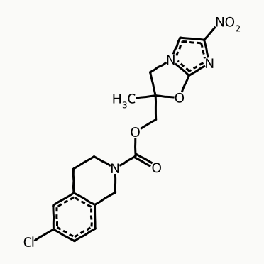 CC1(COC(=O)N2CCc3cc(Cl)ccc3C2)Cn2cc([N+](=O)[O-])nc2O1